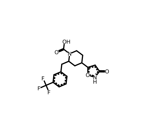 O=C(O)N1CCC(c2cc(=O)[nH]o2)CC1Cc1cccc(C(F)(F)F)c1